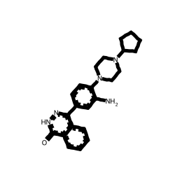 Nc1cc(-c2n[nH]c(=O)c3ccccc23)ccc1N1CCN(C2CCCC2)CC1